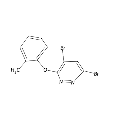 Cc1ccccc1Oc1nnc(Br)cc1Br